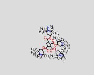 CN1C(C)(C)CC(OC(=O)C2CC(C(=O)OC3CC(C)(C)NC(C)(C)C3)C(C(=O)OC3CC(C)(C)N(C)C(C)(C)C3)C2C(=O)OC2CC(C)(C)NC(C)(C)C2)CC1(C)C